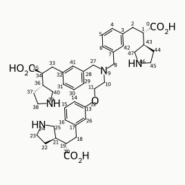 O=C(O)[C@@H](Cc1cccc(CN(CCOc2cccc(C[C@H](C(=O)O)[C@H]3CCNC3)c2)Cc2cccc(C[C@H](C(=O)O)[C@H]3CCNC3)c2)c1)[C@H]1CCNC1